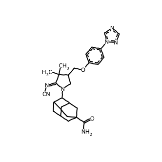 CC1(C)/C(=N/C#N)N(C2C3CC4CC2CC(C(N)=O)(C4)C3)CC1COc1ccc(-n2cncn2)cc1